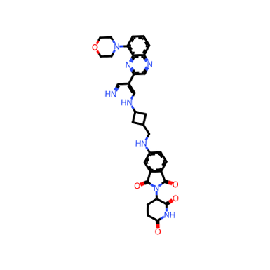 N=C/C(=C\NC1CC(CNc2ccc3c(c2)C(=O)N(C2CCC(=O)NC2=O)C3=O)C1)c1cnc2cccc(N3CCOCC3)c2n1